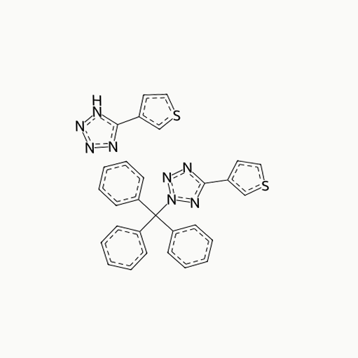 c1cc(-c2nnn[nH]2)cs1.c1ccc(C(c2ccccc2)(c2ccccc2)n2nnc(-c3ccsc3)n2)cc1